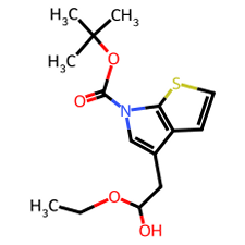 CCOC(O)Cc1cn(C(=O)OC(C)(C)C)c2sccc12